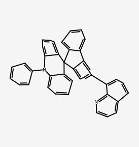 c1ccc(N2c3ccccc3C3(c4ccccc4-c4cc(-c5cccc6cccnc56)ccc43)c3ccccc32)cc1